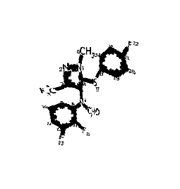 Cn1nc(C(F)(F)F)c(N(C=O)c2cccc(F)c2F)c1Sc1ccc(F)cc1